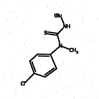 CN(C(=S)NC(C)(C)C)c1ccc(Cl)cc1